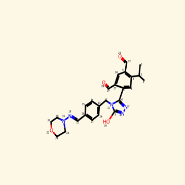 CC(C)c1cc(-c2nnc(O)n2Cc2ccc(C=NN3CCOCC3)cc2)c(C=O)cc1C=O